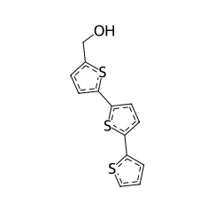 OCc1ccc(-c2ccc(-c3cccs3)s2)s1